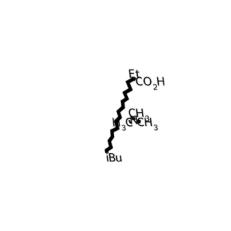 CCC(C)CCCCCCCCCCCCCCCC(CC)C(=O)O.CN(C)C